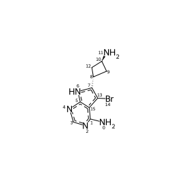 Nc1ncnc2[nH]c([C@H]3C[C@H](N)C3)c(Br)c12